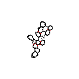 c1ccc(-c2cccc3cccc(-c4ccccc4N(c4cccc(-c5cccc6c5ccc5ccccc56)c4)c4ccccc4-c4cccc5sc6ccccc6c45)c23)cc1